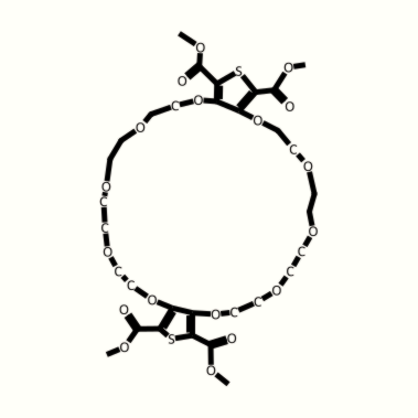 COC(=O)c1sc(C(=O)OC)c2c1OCCOCCOCCOCCOc1c(C(=O)OC)sc(C(=O)OC)c1OCCOCCOCCOCCO2